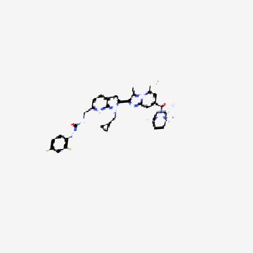 COc1cc(C(=O)N2[C@H]3CC[C@@H]2[C@H](N)C3)cc2nc(-c3cc4ccc([C@@H](C)NC(=O)Nc5ccc(F)cc5F)nc4n3CC3CC3)c(C)n12